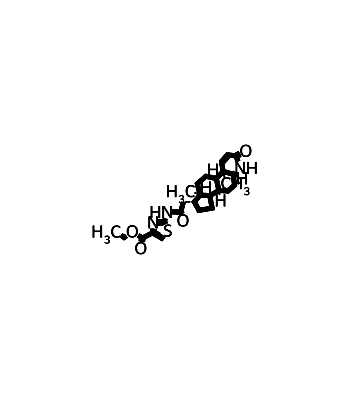 CCOC(=O)c1csc(NC(=O)C[C@H]2CC[C@H]3[C@@H]4CC[C@H]5NC(=O)C=C[C@]5(C)[C@H]4CC[C@]23C)n1